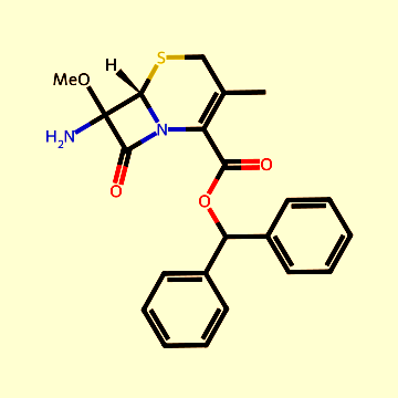 COC1(N)C(=O)N2C(C(=O)OC(c3ccccc3)c3ccccc3)=C(C)CS[C@H]21